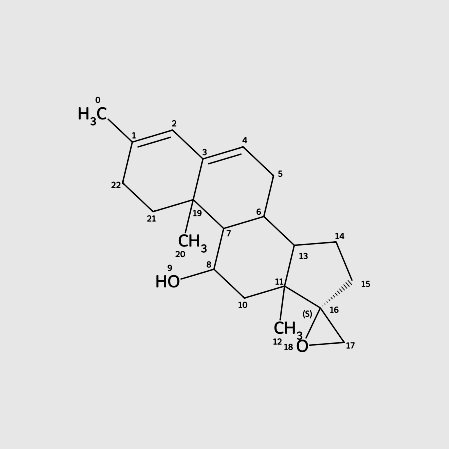 CC1=CC2=CCC3C(C(O)CC4(C)C3CC[C@@]43CO3)C2(C)CC1